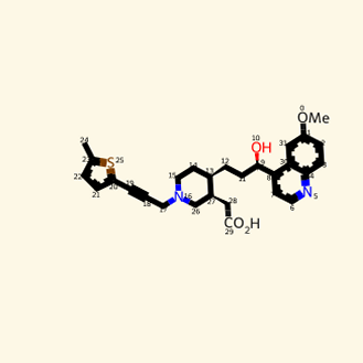 COc1ccc2nccc([C@H](O)CC[C@@H]3CCN(CC#Cc4ccc(C)s4)C[C@@H]3CC(=O)O)c2c1